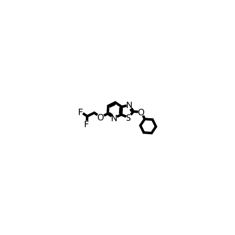 FC(F)COc1ccc2nc(OC3CCCCC3)sc2n1